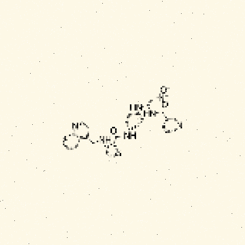 O=C(Nc1ccc(N/C(=C/[N+](=O)[O-])NCc2cccnc2)cc1)c1sccc1NCc1ccnc2ccccc12